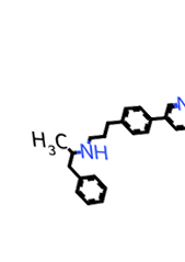 CC(Cc1ccccc1)NCCCc1ccc(-c2cccnc2)cc1